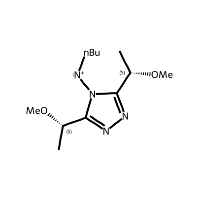 CCCC[N+]n1c([C@H](C)OC)nnc1[C@H](C)OC